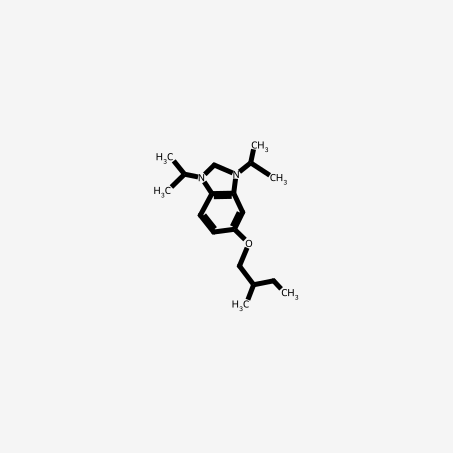 CCC(C)COc1ccc2c(c1)N(C(C)C)CN2C(C)C